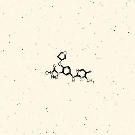 Cc1nc(Nc2ccc(O[C@H]3CCOC3)c(-n3nnn(C)c3=O)c2)ncc1F